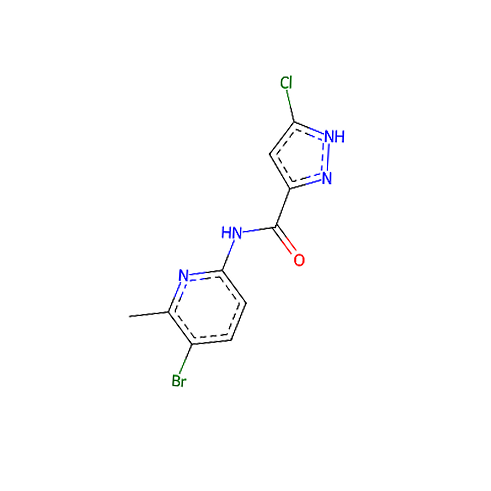 Cc1nc(NC(=O)c2cc(Cl)[nH]n2)ccc1Br